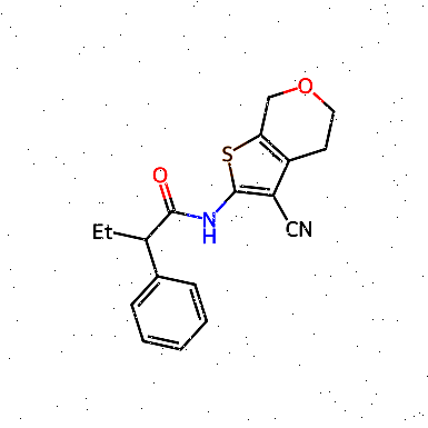 CCC(C(=O)Nc1sc2c(c1C#N)CCOC2)c1ccccc1